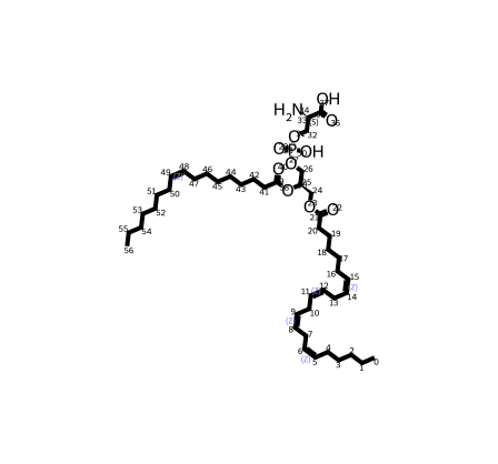 CCCCC/C=C\C/C=C\C/C=C\C/C=C\CCCCCC(=O)OC[C@H](COP(=O)(O)OC[C@H](N)C(=O)O)OC(=O)CCCCCCC/C=C\CCCCCCC